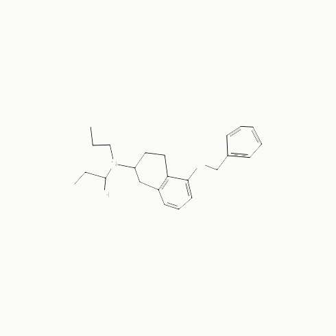 CCCN(C(O)CC)C1CCc2c(cccc2OCc2ccccc2)C1